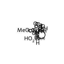 COc1ccc2c(O[C@@H]3C[C@H]4C(=O)N[C@]5(C(=O)NS(=O)(=O)C6(C)CC6)C[C@H]5C=CCC[C@@H](C)C[C@@H](C)[C@H](NC(=O)O)C(=O)N4C3)nc(-c3ccc4c(c3)OCCO4)cc2c1